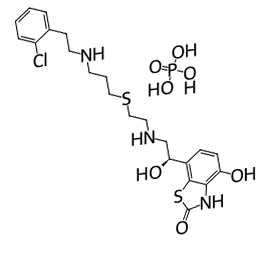 O=P(O)(O)O.O=c1[nH]c2c(O)ccc([C@@H](O)CNCCSCCCNCCc3ccccc3Cl)c2s1